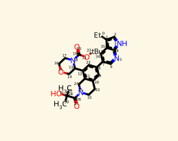 CCc1c[nH]c2ncc(-c3cc4c(c(C5COCCN5C(=O)OC(C)(C)C)c3)CN(C(=O)C(C)(C)O)CC4)cc12